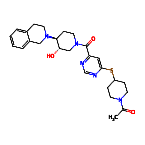 CC(=O)N1CCC(Sc2cc(C(=O)N3CC[C@H](N4CCc5ccccc5C4)[C@@H](O)C3)ncn2)CC1